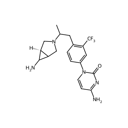 CC(Cc1ccc(-n2ccc(N)nc2=O)cc1C(F)(F)F)N1CC2C(N)[C@H]2C1